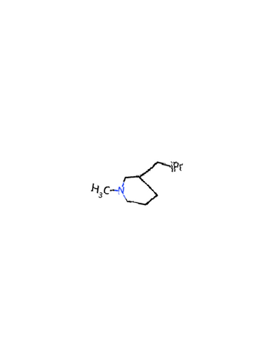 [CH2]C(C)CC1CCCN(C)C1